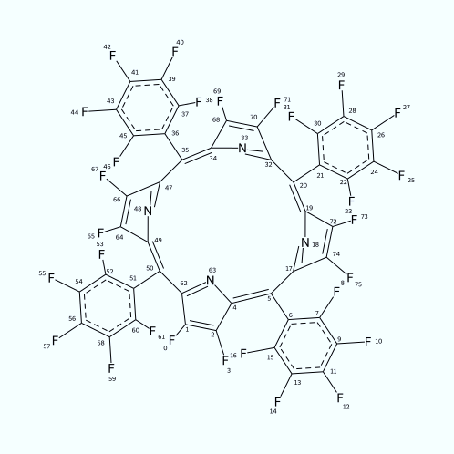 FC1=C(F)C2=C(c3c(F)c(F)c(F)c(F)c3F)C3=NC(=C(c4c(F)c(F)c(F)c(F)c4F)C4=NC(=C(c5c(F)c(F)c(F)c(F)c5F)C5=NC(=C(c6c(F)c(F)c(F)c(F)c6F)C1=N2)C(F)=C5F)C(F)=C4F)C(F)=C3F